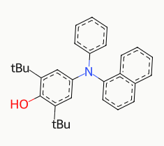 CC(C)(C)c1cc(N(c2ccccc2)c2cccc3ccccc23)cc(C(C)(C)C)c1O